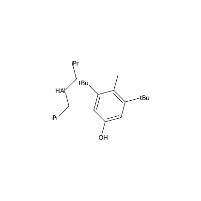 CC(C)[CH2][AlH][CH2]C(C)C.Cc1c(C(C)(C)C)cc(O)cc1C(C)(C)C